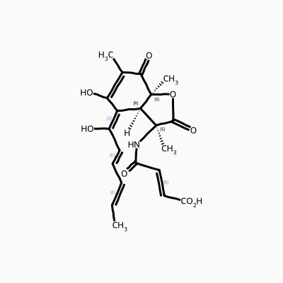 C/C=C/C=C/C(O)=C1/C(O)=C(C)C(=O)[C@@]2(C)OC(=O)[C@@](C)(NC(=O)/C=C/C(=O)O)[C@@H]12